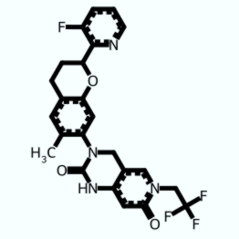 Cc1cc2c(cc1N1Cc3cn(CC(F)(F)F)c(=O)cc3NC1=O)OC(c1ncccc1F)CC2